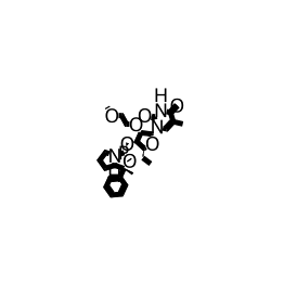 CC[C@H]1O[C@@H](n2cc(C)c(=O)[nH]c2=O)C(OCCOC)[C@H]1O[P@@]1O[C@](C)(c2ccccc2)[C@@H]2CCCN21